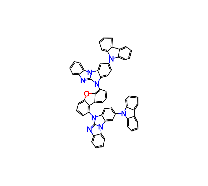 c1ccc2c(c1)nc1n(-c3cccc4c3oc3cccc(-n5c6ccc(-n7c8ccccc8c8ccccc87)cc6n6c7ccccc7nc56)c34)c3ccc(-n4c5ccccc5c5ccccc54)cc3n21